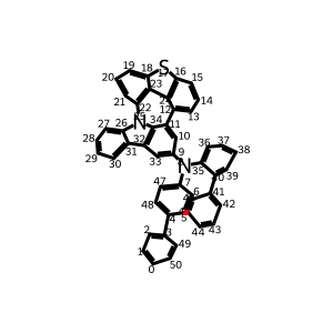 c1ccc(-c2ccc(N(c3cc4c5cccc6sc7cccc(c7c65)n5c6ccccc6c(c3)c45)c3ccccc3-c3ccccc3)cc2)cc1